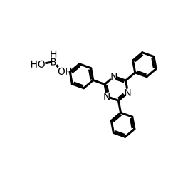 OBO.c1ccc(-c2nc(-c3ccccc3)nc(-c3ccccc3)n2)cc1